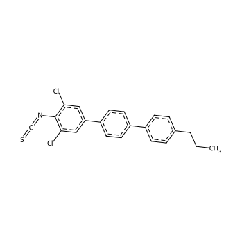 CCCc1ccc(-c2ccc(-c3cc(Cl)c(N=C=S)c(Cl)c3)cc2)cc1